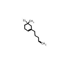 C=CCCCC1=CCC[C@@](C)(CC)C1